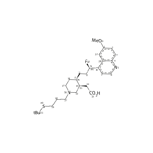 COc1ccc2nccc([C@H](F)CC[C@@H]3CCN(CCCSC(C)(C)C)C[C@@H]3CC(=O)O)c2c1